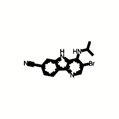 CC(C)Nc1c(Br)cnc2c1[nH]c1cc(C#N)ccc12